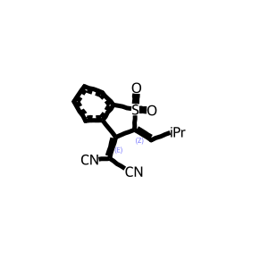 [C-]#[N+]/C(C#N)=C1/C(=C/C(C)C)S(=O)(=O)c2ccccc21